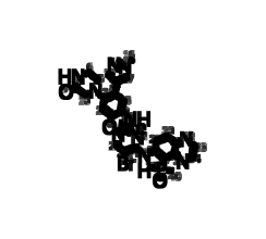 COc1cc(N2CCNC(=O)C2)c(-c2cnn(C)c2)cc1Nc1ncc(Br)c(Nc2ccc3nccnc3c2P(C)(C)=O)n1